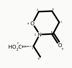 C[C@H](C(=O)O)N1OCCCC1=O